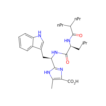 CCCC(CCC)C(=O)N[C@@H](CC(C)C)C(=O)N[C@H](Cc1c[nH]c2ccccc12)c1nc(C(=O)O)c(C)[nH]1